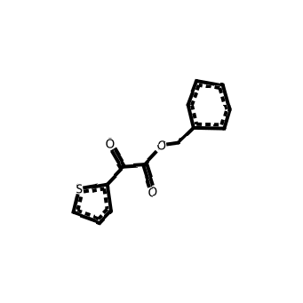 O=C(OCc1ccccc1)C(=O)c1cccs1